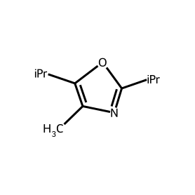 Cc1nc(C(C)C)oc1C(C)C